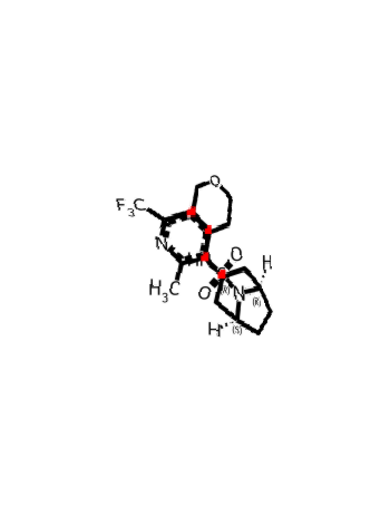 Cc1nc(C(F)(F)F)ccc1S(=O)(=O)N1[C@@H]2CC[C@H]1C[C@@H](NC1CCOCC1)C2